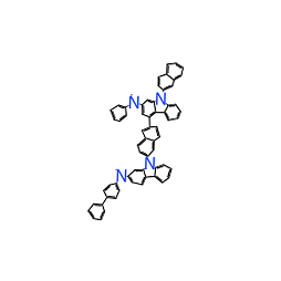 CN(c1ccc(-c2ccccc2)cc1)c1ccc2c3ccccc3n(-c3ccc4cc(-c5cc(N(C)c6ccccc6)cc6c5c5ccccc5n6-c5ccc6ccccc6c5)ccc4c3)c2c1